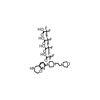 O=C(O)C(F)(F)F.O=C(O)C(F)(F)F.O=C(O)C(F)(F)F.O=C(O)C(F)(F)F.c1cc2c(nc1N1CCN(CCN3CCOCC3)CC1)OCCNC2